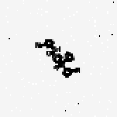 N#Cc1cccc(NC(=O)N2CCC3(CC2)C(=O)N(c2cccc(C#N)c2)C3c2ccccn2)c1